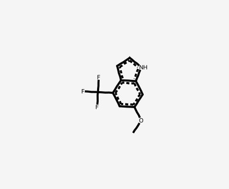 COc1cc(C(F)(F)F)c2c[c][nH]c2c1